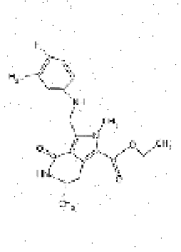 CCOC(=O)c1c2c(c(CNc3ccc(F)c(C)c3)n1C)C(=O)N[C@@H](C)C2